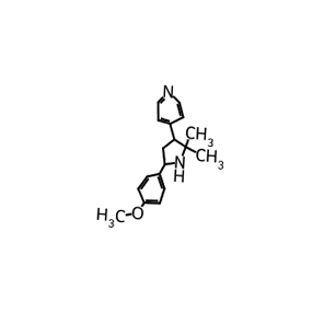 COc1ccc(C2CC(c3ccncc3)C(C)(C)N2)cc1